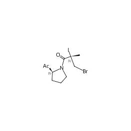 CC(=O)[C@@H]1CCCN1C(=O)[C@](C)(I)CBr